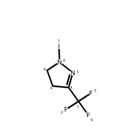 FC(F)(F)C1=NN(I)CC1